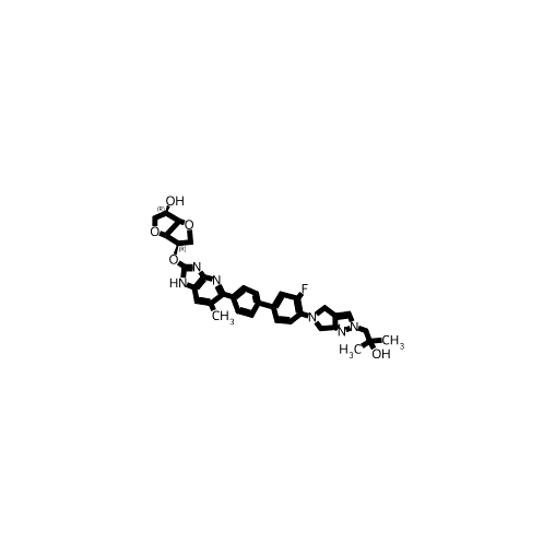 Cc1cc2[nH]c(O[C@@H]3COC4C3OC[C@H]4O)nc2nc1-c1ccc(-c2ccc(N3Cc4cn(CC(C)(C)O)nc4C3)c(F)c2)cc1